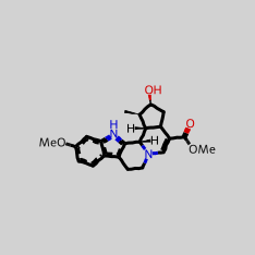 COC(=O)C1=CN2CCc3c([nH]c4cc(OC)ccc34)[C@@H]2[C@H]2C1C[C@H](O)[C@@H]2C